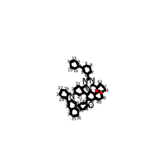 C1=CC(c2nc(-c3cccc(-c4ccccc4)c3)nc(-c3ccc(-n4c5ccccc5c5cc6ccccc6cc54)cc3-c3cc4ccccc4c4oc5ccccc5c34)n2)=CCC1